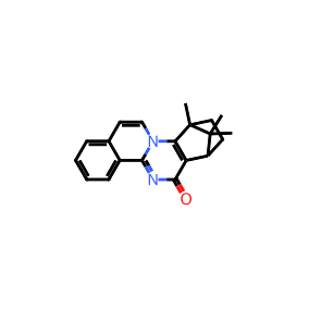 CC12CCC(c3c1n1ccc4ccccc4c1nc3=O)C2(C)C